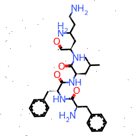 CC(C)C[C@@H](NC(=O)[C@@H](Cc1ccccc1)NC(=O)[C@H](N)Cc1ccccc1)C(=O)N[C@@H]([C]=O)CC(N)CCN